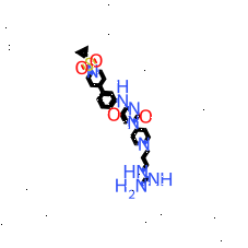 N=C(N)NCCCN1CCC(n2cc3c(nc2=O)Nc2cc(C4CCN(S(=O)(=O)C5CC5)CC4)ccc2O3)CC1